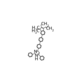 C=CC1=C(C=C)C(C)(C)c2cc(-c3ccc(-c4ccc(C5=NC(c6ccccc6)NC(c6ccccc6)=C5)cc4)cc3)ccc21